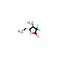 CC[C@H]1OC(=O)C(F)(F)[C@@H]1C